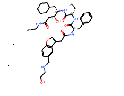 CC(C)CNC(=O)C[C@H](O)[C@H](CC1CCCCC1)NC(=O)[C@H](CC(C)C)NC(=O)[C@H](Cc1ccccc1)NC(=O)CC1COc2ccc(CNCCO)cc21